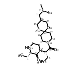 CC(C)C[C@@H]1NCCN([C@@H](CC(C)C)C(=O)N2CCC3(CC2)OCC(CN(C)I)CO3)C1=O